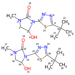 CN1CC(O)N(c2nnc(C(C)(C)C)s2)C1=O.CN1CC(O)N(c2nnc(C(C)(C)C)s2)C1=O